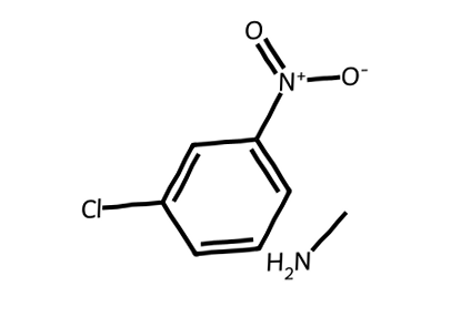 CN.O=[N+]([O-])c1cccc(Cl)c1